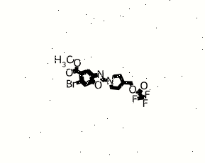 COC(=O)c1cc2nc(N3CCC(COC(=O)C(F)(F)F)CC3)oc2cc1Br